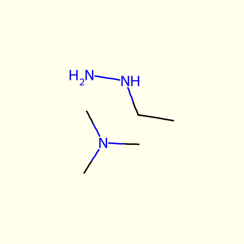 CCNN.CN(C)C